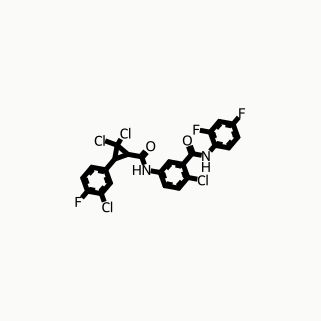 O=C(Nc1ccc(F)cc1F)c1cc(NC(=O)C2C(c3ccc(F)c(Cl)c3)C2(Cl)Cl)ccc1Cl